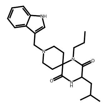 CCCN1C(=O)C(CC(C)C)NC(=O)C12CCN(Cc1c[nH]c3ccccc13)CC2